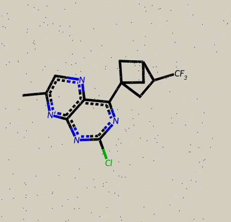 Cc1cnc2c(C34CC(C3)C(C(F)(F)F)C4)nc(Cl)nc2n1